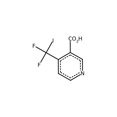 O=C(O)c1cnccc1C(F)(F)I